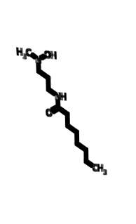 CCCCCCCC(=O)NCCCN(C)O